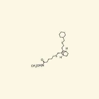 CN(O)C(=O)CCCCSC[C@H]1[C@@H](CCSCC2CCCCC2)[C@H]2CC[C@@H]1O2